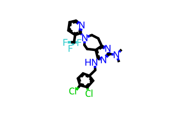 CN(C)c1nc2c(c(NCc3ccc(Cl)c(Cl)c3)n1)CCN(c1ncccc1C(F)(F)F)CC2